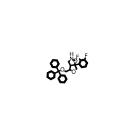 Fc1cccc(C23COC(COC(c4ccccc4)(c4ccccc4)c4ccccc4)C2CNO3)c1F